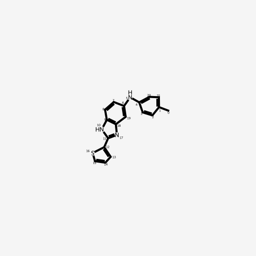 Cc1ccc(Nc2ccc3[nH]c(-c4cccs4)nc3c2)cc1